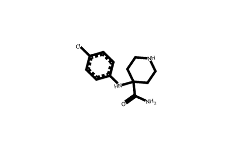 NC(=O)C1(Nc2ccc(Cl)cc2)CCNCC1